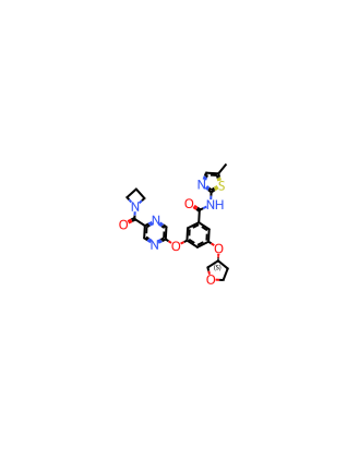 Cc1cnc(NC(=O)c2cc(Oc3cnc(C(=O)N4CCC4)cn3)cc(O[C@H]3CCOC3)c2)s1